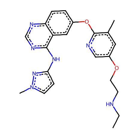 CCNCCOc1cnc(Oc2ccc3ncnc(Nc4ccn(C)n4)c3c2)c(C)c1